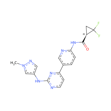 Cn1cc(Nc2nccc(-c3ccc(NC(=O)[C@H]4CC4(F)F)nc3)n2)cn1